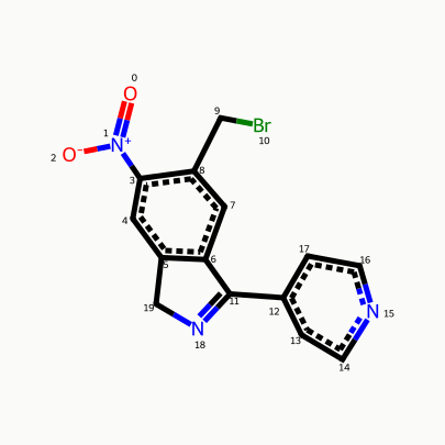 O=[N+]([O-])c1cc2c(cc1CBr)C(c1ccncc1)=NC2